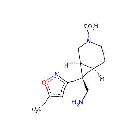 Cc1cc([C@@]2(CN)[C@@H]3CCN(C(=O)O)C[C@@H]32)no1